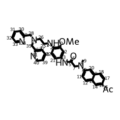 COc1cc(NC(=O)CN(C)c2ccc3cc(C(C)=O)ccc3c2)ccc1NCCN(Cc1ccccn1)Cc1ccccn1